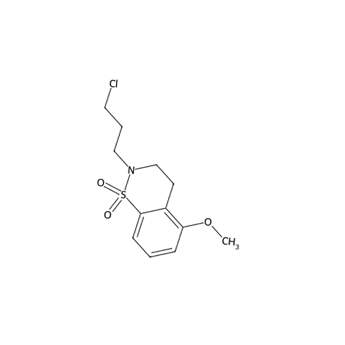 COc1cccc2c1CCN(CCCCl)S2(=O)=O